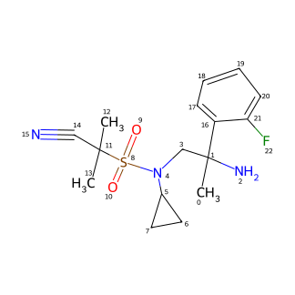 CC(N)(CN(C1CC1)S(=O)(=O)C(C)(C)C#N)c1ccccc1F